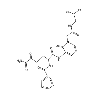 CCC(CC)CNC(=O)Cn1cccc(NC(=O)C(CCC(=O)C(N)=O)NC(=O)c2ccccc2)c1=O